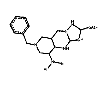 CCN(CC)C1CN(Cc2ccccc2)CC2CN3NC(SC)NC3NC21